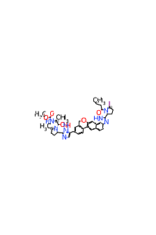 CCCC(=O)N1C(c2nc3ccc4cc5c(cc4c3[nH]2)OCc2cc(-c3cnc(C4CC[C@H](C)N4C(O)[C@H](C)NC(=O)OC)[nH]3)ccc2-5)CC[C@@H]1I